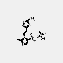 CS(=O)(=O)O.Cc1ncc([N+](=O)[O-])n1CCc1nnc(N)s1